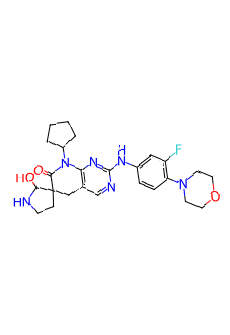 O=C1N(C2CCCC2)c2nc(Nc3ccc(N4CCOCC4)c(F)c3)ncc2CC12CCNC2O